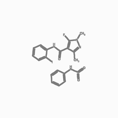 Cc1nn(C)c(F)c1C(=O)Nc1ccccc1I.O=I(=O)Nc1ccccc1